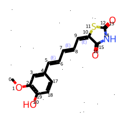 COc1cc(/C=C/C=C/C=C2/SC(=O)NC2=O)ccc1O